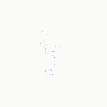 CC(C)C(=O)N1C(C)CN(Cc2ncccn2)CC1C(=O)NCc1ccc(-c2ccco2)cc1